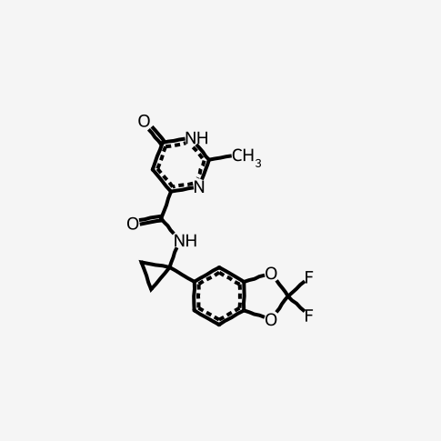 Cc1nc(C(=O)NC2(c3ccc4c(c3)OC(F)(F)O4)CC2)cc(=O)[nH]1